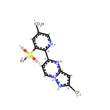 CCS(=O)(=O)c1cc(C(=O)O)cnc1-c1ccn2nc(C(F)(F)F)cc2n1